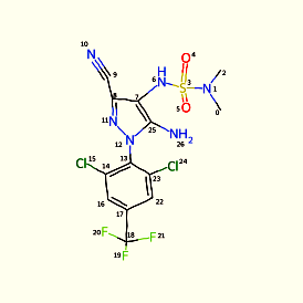 CN(C)S(=O)(=O)Nc1c(C#N)nn(-c2c(Cl)cc(C(F)(F)F)cc2Cl)c1N